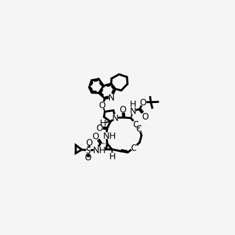 CC(C)(C)OC(=O)N[C@H]1CCCCC/C=C\[C@@H]2C[C@@]2(C(=O)NS(=O)(=O)C2CC2)NC(=O)[C@@H]2C[C@@H](Oc3nc4c(c5ccccc35)CCCCC4)CN2C1=O